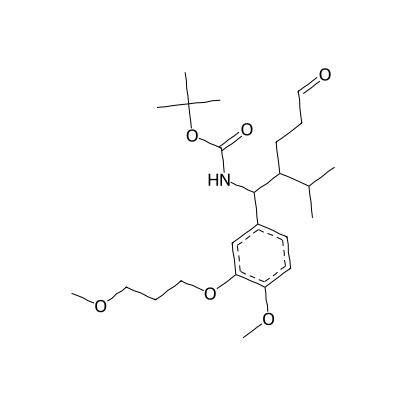 COCCCOc1cc(C(NC(=O)OC(C)(C)C)C(CCC=O)C(C)C)ccc1OC